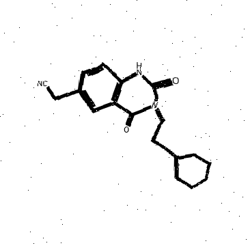 N#CCc1ccc2[nH]c(=O)n(CCC3CCCCC3)c(=O)c2c1